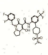 CN(C)S(=O)(=O)N1CCC(c2cc(C(F)(F)F)ccc2NC(=O)C2=C(O)[C@@]3(C)CCCN3N(Cc3cccc(F)c3F)C2=O)CC1